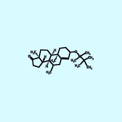 CC1CC2=CC(O[Si](C)(C)C(C)(C)C)CC[C@]2(C)[C@@H]2CC[C@]3(C)C(=O)CC[C@H]3[C@H]12